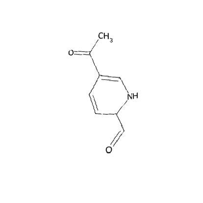 CC(=O)C1=CNC(C=O)C=C1